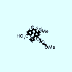 C=C(C(=O)c1ccc(C(=O)O)cc1)c1cc(-c2cccs2)c(OCCOCCOC)cc1OC